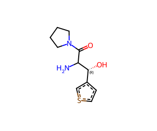 NC(C(=O)N1CCCC1)[C@H](O)c1ccsc1